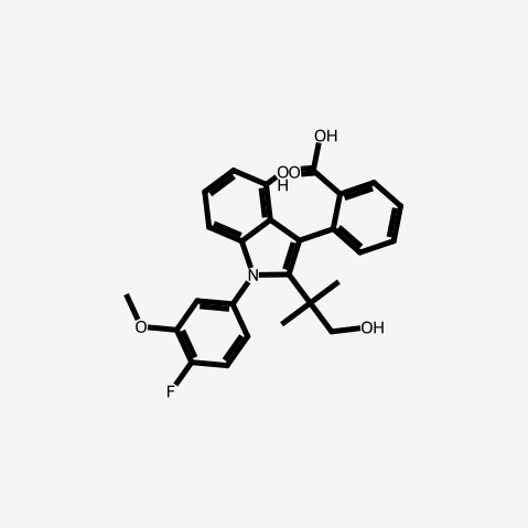 COc1cc(-n2c(C(C)(C)CO)c(-c3ccccc3C(=O)O)c3c(O)cccc32)ccc1F